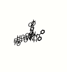 CC(C)(C)OC(=O)N1CC2CC1CN2c1nc(NCC(c2ccccc2)c2ccccc2)c2ncn(C3O[C@H](COC(=O)C(F)(F)F)[C@@H](O)C3O)c2n1